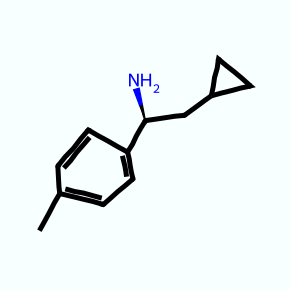 Cc1ccc([C@@H](N)CC2CC2)cc1